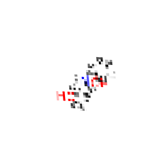 CC(C)(C)C1(O)CCN(CC2(O)CCCCC2)CC1